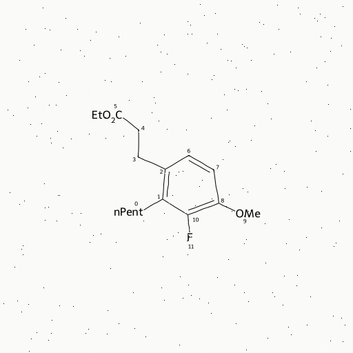 CCCCCc1c(CCC(=O)OCC)ccc(OC)c1F